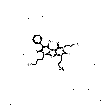 CCCCn1c(=O)c(-c2ccccc2)c(O)n2c3c(=O)n(CCC)c(=O)n(CCC)c3nc12